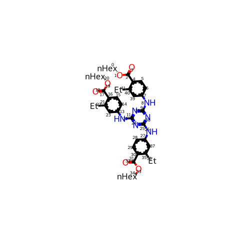 CCCCCCOC(=O)c1ccc(Nc2nc(Nc3ccc(C(=O)OCCCCCC)c(CC)c3)nc(Nc3ccc(C(=O)OCCCCCC)c(CC)c3)n2)cc1CC